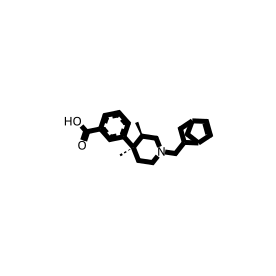 C[C@H]1CN(CC2CC3C=CC2C3)CC[C@@]1(C)c1cccc(C(=O)O)c1